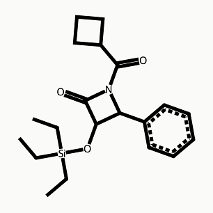 CC[Si](CC)(CC)OC1C(=O)N(C(=O)C2CCC2)C1c1ccccc1